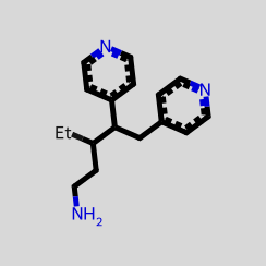 CCC(CCN)C(Cc1ccncc1)c1ccncc1